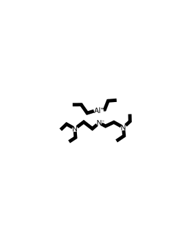 CCN(CC)CC[N-]CCN(CC)CC.CC[CH2][Al+][CH2]CC